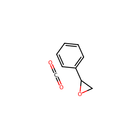 O=C=O.c1ccc(C2CO2)cc1